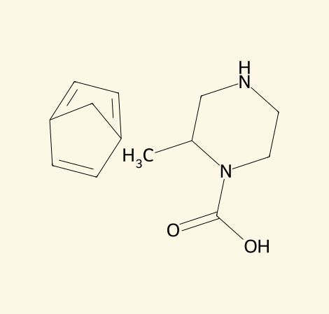 C1=CC2=CC=C1C2.CC1CNCCN1C(=O)O